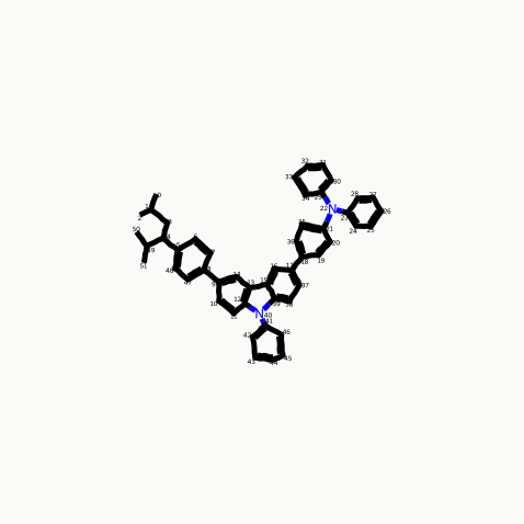 CC(C)CC(c1ccc(-c2ccc3c(c2)c2cc(-c4ccc(N(c5ccccc5)c5ccccc5)cc4)ccc2n3-c2ccccc2)cc1)C(C)C